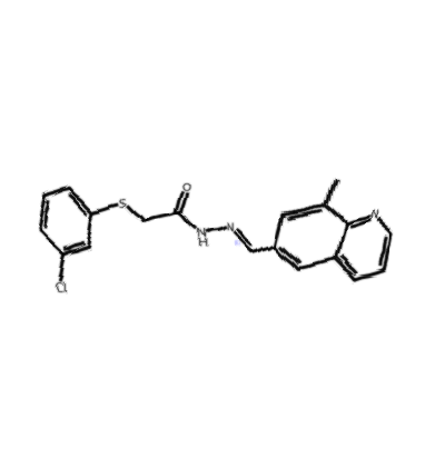 Cc1cc(/C=N/NC(=O)CSc2cccc(Cl)c2)cc2cccnc12